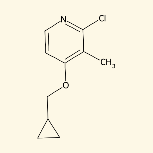 Cc1c(OCC2CC2)ccnc1Cl